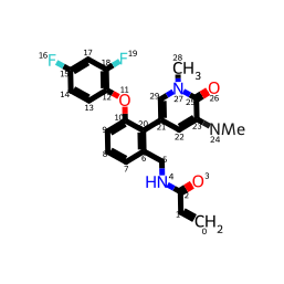 C=CC(=O)NCc1cccc(Oc2ccc(F)cc2F)c1-c1cc(NC)c(=O)n(C)c1